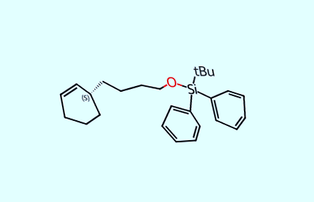 CC(C)(C)[Si](OCCCC[C@H]1C=CCCC1)(c1ccccc1)c1ccccc1